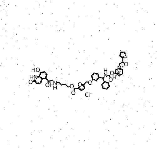 O=C(N[C@@H](c1ccccc1)c1cccc(OCc2ccc(C(=O)OCCCCNC[C@H](O)c3ccc(O)c4[nH]c(=O)ccc34)o2)c1)O[C@H]1C[N+]2(CC(=O)c3cccs3)CCC1CC2.[Cl-]